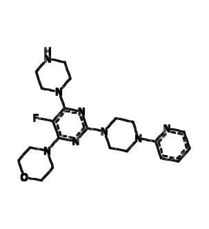 Fc1c(N2CCNCC2)nc(N2CCN(c3ccccn3)CC2)nc1N1CCOCC1